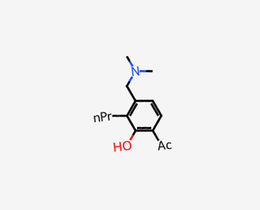 CCCc1c(CN(C)C)ccc(C(C)=O)c1O